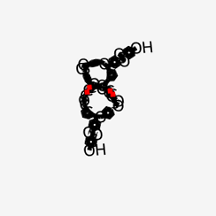 O=S1(=O)c2ccc(cc2)OC(c2ccc(S(=O)(=O)c3ccc(O)cc3)cc2)c2cccc(c2)COCc2cccc(c2)C2(OCc3cccc(c3)C(c3ccc(S(=O)(=O)c4ccc(O)cc4)cc3)Oc3ccc(cc3)S(=O)(=O)c3ccc(cc3)O2)Oc2ccc1cc2